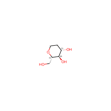 OC[C@@H]1O[CH]C[C@H](O)[C@H]1O